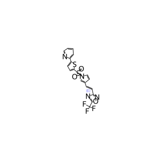 O=S(=O)(c1ccc(-c2ccccn2)s1)n1ccc(/C=C/c2noc(C(F)(F)F)n2)c1